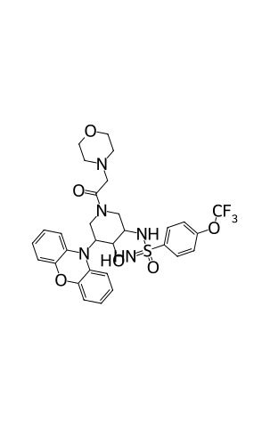 N=S(=O)(NC1CN(C(=O)CN2CCOCC2)CC(N2c3ccccc3Oc3ccccc32)C1O)c1ccc(OC(F)(F)F)cc1